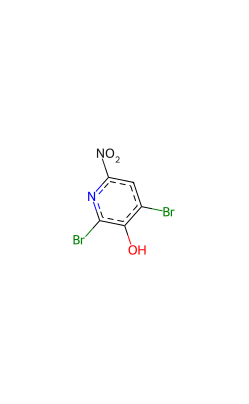 O=[N+]([O-])c1cc(Br)c(O)c(Br)n1